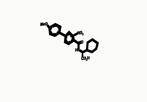 COc1ccc(-c2ccc(C(=O)N[C@H](C(=O)O)C3CCCCC3)c([N+](=O)[O-])c2)cc1